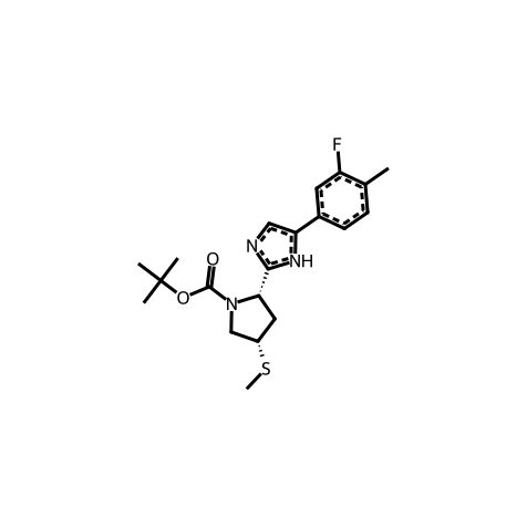 CS[C@H]1C[C@@H](c2ncc(-c3ccc(C)c(F)c3)[nH]2)N(C(=O)OC(C)(C)C)C1